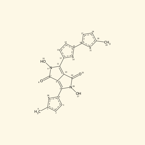 Cc1ccc(C2=C3C(=O)N(O)C(c4ccc(-c5ccc(C)s5)s4)=C3C(=O)N2O)s1